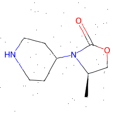 C[C@@H]1COC(=O)N1C1CCNCC1